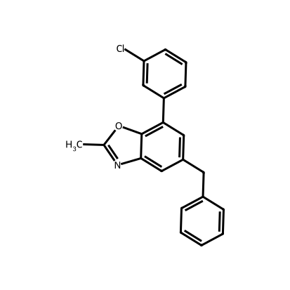 Cc1nc2cc(Cc3ccccc3)cc(-c3cccc(Cl)c3)c2o1